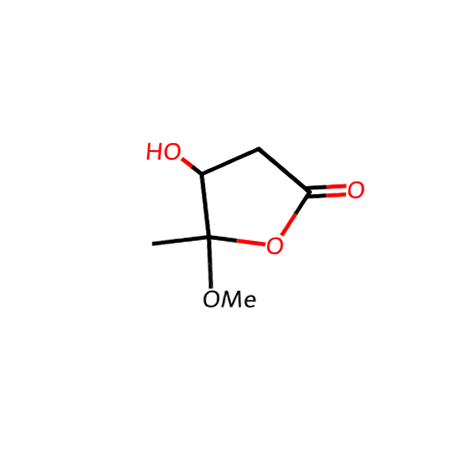 COC1(C)OC(=O)CC1O